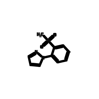 CS(=O)(=O)c1c[c]ccc1-n1cccn1